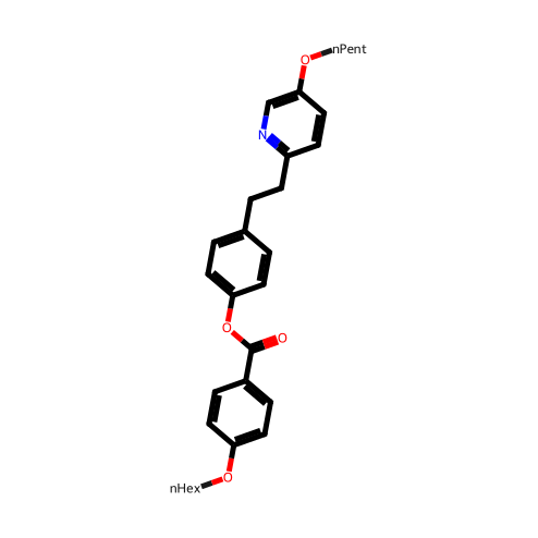 CCCCCCOc1ccc(C(=O)Oc2ccc(CCc3ccc(OCCCCC)cn3)cc2)cc1